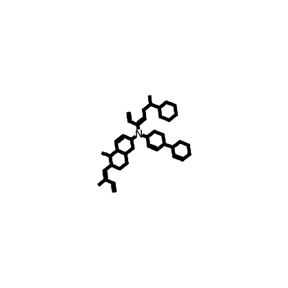 C=C/C(C)=C\C1CCC2CC(N(/C(C=C)=C/CC(C)C3CCCCC3)C3C=CC(C4C=CCCC4)CC3)C=CC2C1C